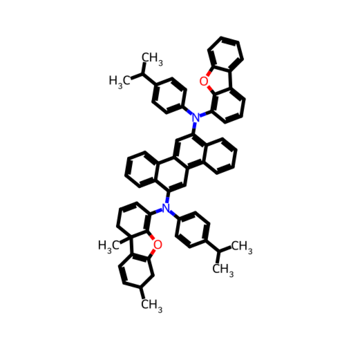 CC1C=CC2=C(C1)OC1=C(N(c3ccc(C(C)C)cc3)c3cc4c5ccccc5c(N(c5ccc(C(C)C)cc5)c5cccc6c5oc5ccccc56)cc4c4ccccc34)C=CCC21C